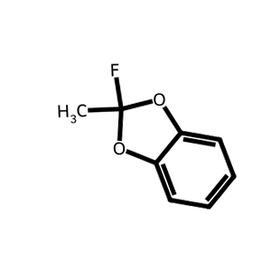 CC1(F)Oc2ccccc2O1